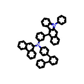 c1ccc(-c2ccccc2-c2ccc(N(c3cccc(-c4c5ccccc5cc5c4c4ccccc4n5-c4ccccc4)c3)c3cc4ccccc4c4ccccc34)cc2)cc1